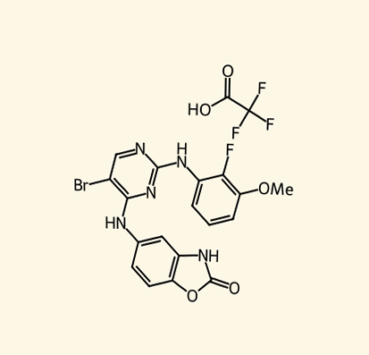 COc1cccc(Nc2ncc(Br)c(Nc3ccc4oc(=O)[nH]c4c3)n2)c1F.O=C(O)C(F)(F)F